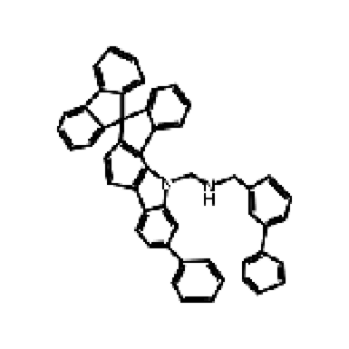 c1ccc(-c2cccc(CNCn3c4cc(-c5ccccc5)ccc4c4ccc5c(c43)-c3ccccc3C53c4ccccc4-c4ccccc43)c2)cc1